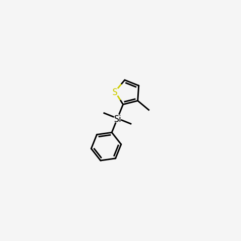 Cc1ccsc1[Si](C)(C)c1ccccc1